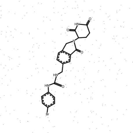 O=C1CCC(N2Cc3ccc(CNC(=O)Nc4ccc(Br)cc4)cc3C2=O)C(=O)N1